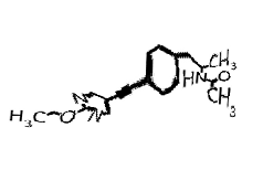 CCOc1ncc(C#Cc2ccc(CC(C)NC(C)=O)cc2)cn1